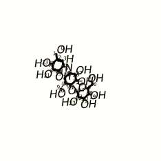 OCC1=C[C@H](N[C@H]2C[C@@H](CO)[C@@H](O[C@@H]3OC(CO)[C@@H](O)C(O)[C@@H]3O)C(O)C2O)[C@@H](O)C(O)[C@@H]1O